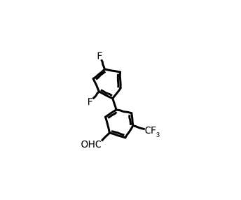 O=Cc1cc(-c2ccc(F)cc2F)cc(C(F)(F)F)c1